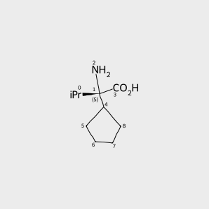 CC(C)[C@@](N)(C(=O)O)C1CCCC1